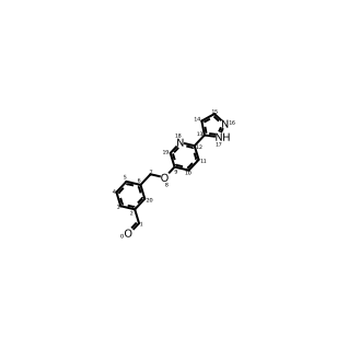 O=Cc1cccc(COc2ccc(-c3ccn[nH]3)nc2)c1